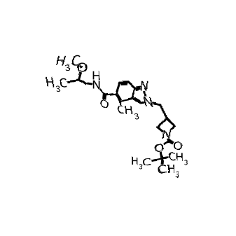 COC(C)CNC(=O)c1ccc2nn(CC3CN(C(=O)OC(C)(C)C)C3)cc2c1C